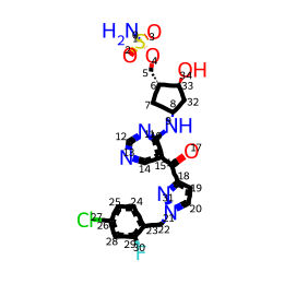 NS(=O)(=O)OC[C@H]1C[C@@H](Nc2ncncc2C(=O)c2ccn(Cc3ccc(Cl)cc3F)n2)C[C@@H]1O